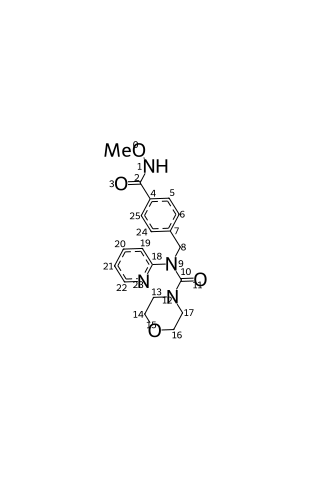 CONC(=O)c1ccc(CN(C(=O)N2CCOCC2)c2ccccn2)cc1